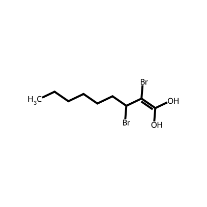 CCCCCCC(Br)C(Br)=C(O)O